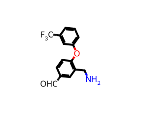 NCc1cc(C=O)ccc1Oc1cccc(C(F)(F)F)c1